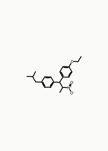 CCOc1ccc(C(c2ccc(CC(C)C)cc2)C(C)[N+](=O)[O-])cc1